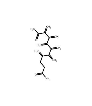 C=C(CCC(N)=O)C(=C)C(=C)C(=C)C(=C)C(=C)C(N)=O